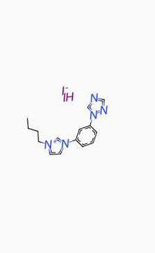 CCCC[n+]1ccn(-c2cccc(-n3cncn3)c2)c1.I.[I-]